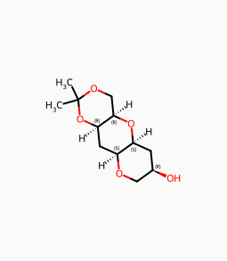 CC1(C)OC[C@H]2O[C@H]3C[C@@H](O)CO[C@H]3C[C@H]2O1